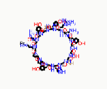 CC(C)NCCCC[C@@H]1NC(=O)[C@H](CCC(N)=O)NC(=O)[C@H](Cc2ccc(O)cc2)NC(=O)[C@H](CS)NC(=O)[C@H](Cc2ccc(O)cc2)NC(=O)[C@H](CCCNC(=N)N)NC(=O)[C@H](CCN)NC(=O)[C@@H](Cc2ccc(O)cc2)NC(=O)[C@H](C)NC(=O)[C@H](CO)NC(=O)[C@H](CS)NC(=O)[C@H](C)NC(=O)[C@H](Cc2c[nH]cn2)NC(=O)[C@H](Cc2ccc(O)cc2)NC(=O)[C@@H]2CCCN2C(=O)[C@H]2CCCN2C1=O